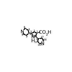 O=C(O)c1cc(-c2ccncc2)[nH]c1-c1ccncc1